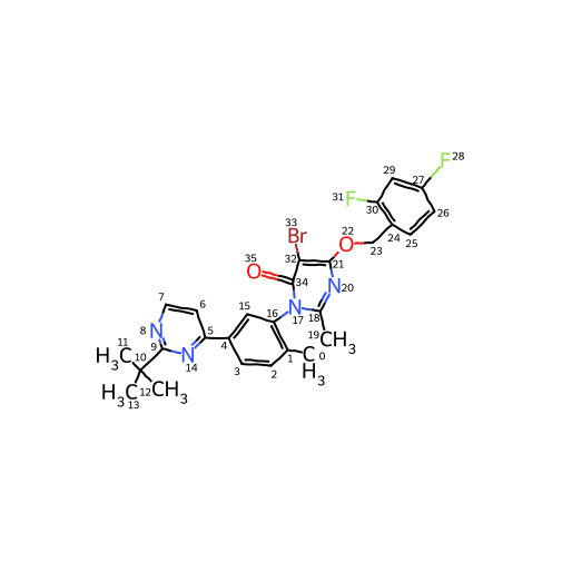 Cc1ccc(-c2ccnc(C(C)(C)C)n2)cc1-n1c(C)nc(OCc2ccc(F)cc2F)c(Br)c1=O